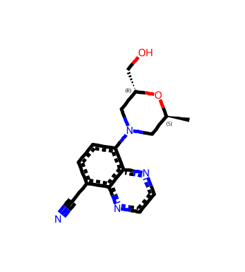 C[C@H]1CN(c2ccc(C#N)c3nccnc23)C[C@H](CO)O1